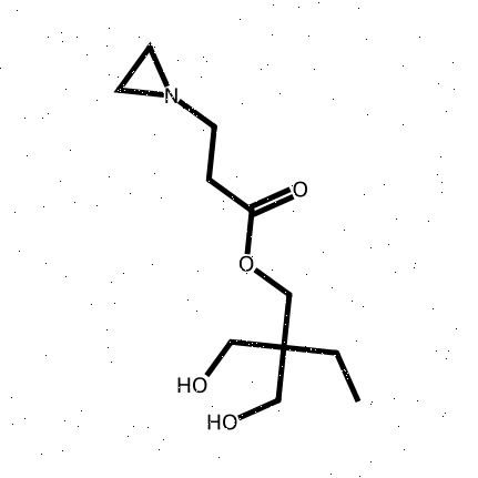 CCC(CO)(CO)COC(=O)CCN1CC1